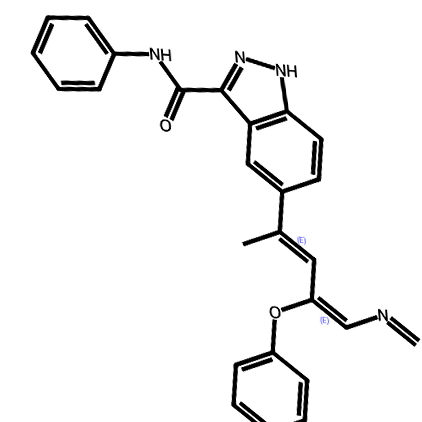 C=N/C=C(\C=C(/C)c1ccc2[nH]nc(C(=O)Nc3ccccc3)c2c1)Oc1ccccc1